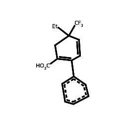 CCC1(C(F)(F)F)C=CC(c2ccccc2)=C(C(=O)O)C1